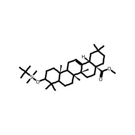 COC(=O)[C@]12CCC(C)(C)C[C@H]1C1=CCC3[C@@]4(C)CCC(O[Si](C)(C)C(C)(C)C)C(C)(C)C4CC[C@@]3(C)[C@@]1(C)CC2